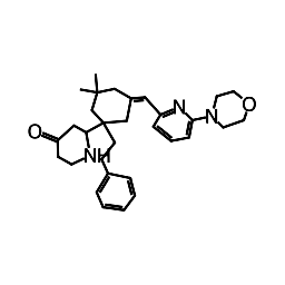 CC1(C)CC(=Cc2cccc(N3CCOCC3)n2)CC(CCc2ccccc2)(C2CC(=O)CCN2)C1